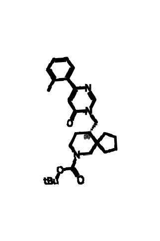 Cc1ccccc1-c1cc(=O)n(C[C@H]2CCN(C(=O)OC(C)(C)C)CC23CCCC3)cn1